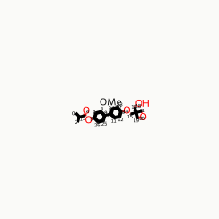 C=C(C)C(=O)Oc1ccc(-c2ccc(OCC3(CO)COC3)c(OC)c2)cc1